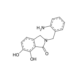 Nc1ccccc1CN1Cc2ccc(O)c(O)c2C1=O